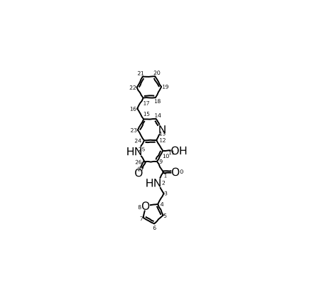 O=C(NCc1ccco1)c1c(O)c2ncc(Cc3ccccc3)cc2[nH]c1=O